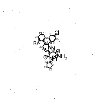 NS(=O)(=O)c1nn2c(-c3ccc(Cl)cc3)c(-c3ccccc3Br)cnc2c1C(=O)NC1CCCC1